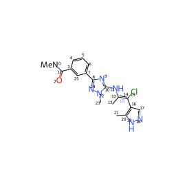 CNC(=O)c1cccc(-c2nc(N/C(C)=C(\Cl)c3cn[nH]c3C)n(C)n2)c1